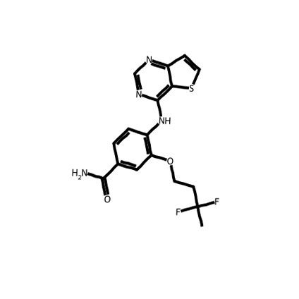 CC(F)(F)CCOc1cc(C(N)=O)ccc1Nc1ncnc2ccsc12